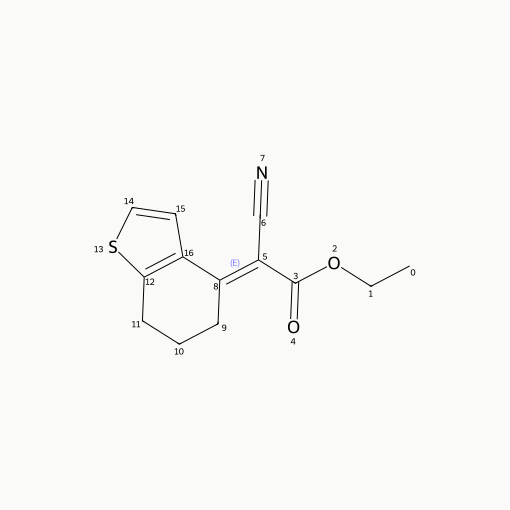 CCOC(=O)/C(C#N)=C1\CCCc2sccc21